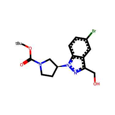 CC(C)(C)OC(=O)N1CC[C@H](n2nc(CO)c3cc(Br)ccc32)C1